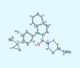 CSN1CCN(C(=O)c2cnc3ccccc3c2-c2ccc(C3(C#N)CC3)c(F)c2)CC1